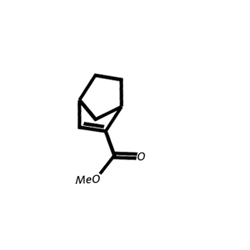 COC(=O)C1=CC2CCC1C2